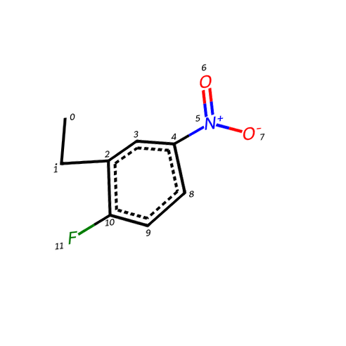 C[CH]c1cc([N+](=O)[O-])ccc1F